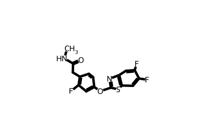 CNC(=O)Cc1ccc(Oc2nc3cc(F)c(F)cc3s2)cc1F